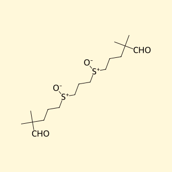 CC(C)(C=O)CCC[S+]([O-])CCC[S+]([O-])CCCC(C)(C)C=O